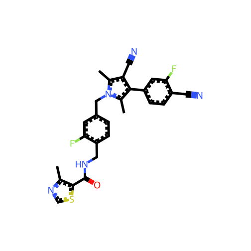 Cc1ncsc1C(=O)NCc1ccc(Cn2c(C)c(C#N)c(-c3ccc(C#N)c(F)c3)c2C)cc1F